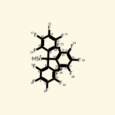 Fc1c(F)c(F)c([C]([SnH])(c2c(F)c(F)c(F)c(F)c2F)c2c(F)c(F)c(F)c(F)c2F)c(F)c1F